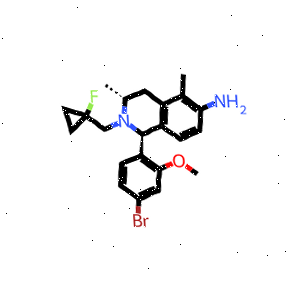 COc1cc(Br)ccc1[C@@H]1c2ccc(N)c(C)c2C[C@@H](C)N1CC1(F)CC1